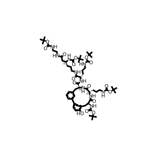 CC(C)(C)OC(=O)NCCC[C@H](NC(=O)[C@@H]1Cc2cccc(c2)-c2ccc(O)c(c2)C[C@H](NC(=O)OC(C)(C)C)C(=O)N[C@@H](CCCNC(=O)OC(C)(C)C)C(=O)N1)C(=O)NCCC[C@@H](CC(=O)NCCNC(=O)OC(C)(C)C)NC(=O)OC(C)(C)C